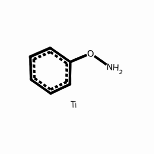 NOc1ccccc1.[Ti]